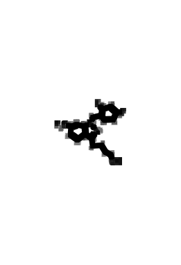 OCCCCc1nn(Cc2ccc(F)cc2F)c2cc(C(F)(F)F)ccc12